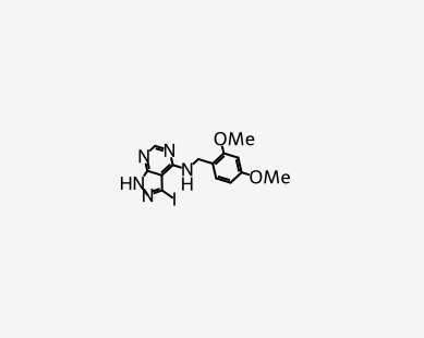 COc1ccc(CNc2ncnc3[nH]nc(I)c23)c(OC)c1